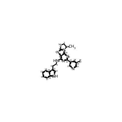 C[C@@H]1CSc2nc3c(NCCc4c[nH]c5ccccc45)nc(-c4cncc(F)c4)nc3n21